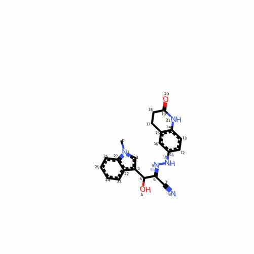 Cn1cc(C(O)/C(C#N)=N/Nc2ccc3c(c2)CCC(=O)N3)c2ccccc21